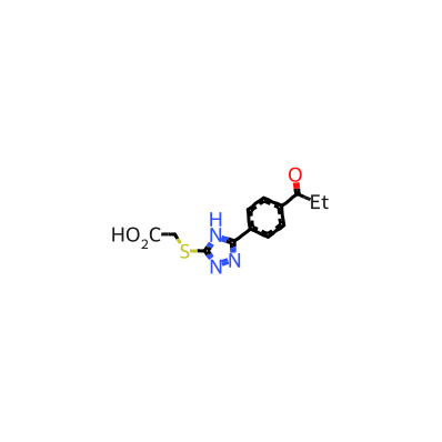 CCC(=O)c1ccc(-c2nnc(SCC(=O)O)[nH]2)cc1